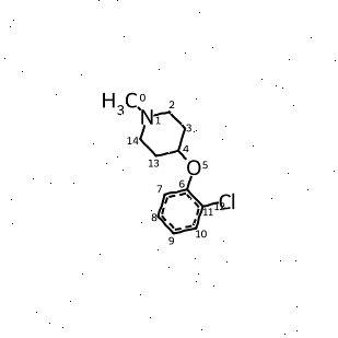 CN1CCC(Oc2ccccc2Cl)CC1